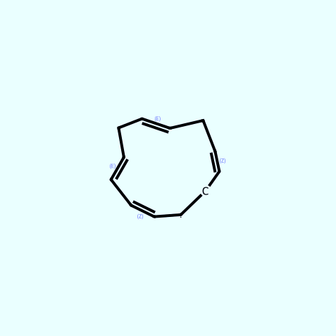 [CH]1/C=C\C=C\C/C=C/C/C=C\C1